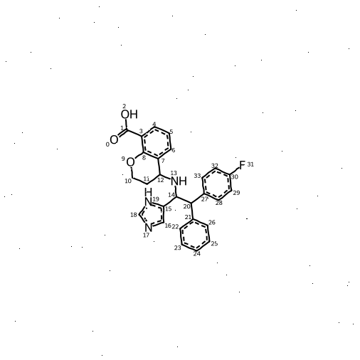 O=C(O)c1cccc2c1OCCC2NC(c1cnc[nH]1)C(c1ccccc1)c1ccc(F)cc1